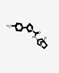 Cc1ccc(-c2ccn(C(=O)N[C@@H]3C[C@H]4CCN(C4)C3)c2)cc1